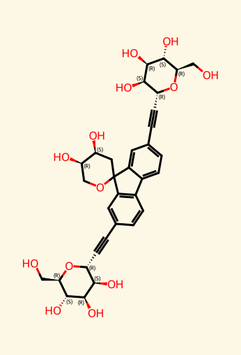 OC[C@H]1O[C@H](C#Cc2ccc3c(c2)C2(C[C@H](O)[C@H](O)CO2)c2cc(C#C[C@H]4O[C@H](CO)[C@@H](O)[C@H](O)[C@@H]4O)ccc2-3)[C@@H](O)[C@@H](O)[C@@H]1O